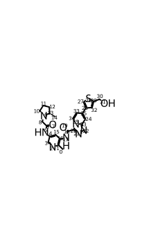 Cc1ncc(NC(=O)CN2CCC[C@H]2C)cc1NC(=O)c1nnc2cc(-c3csc(CO)c3)ccn12